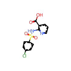 O=C(O)c1cccnc1NS(=O)(=O)c1ccc(Cl)cc1